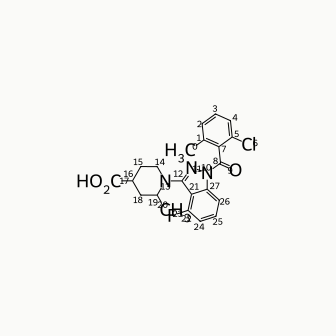 Cc1cccc(Cl)c1C(=O)n1nc(N2CCC(C(=O)O)CC2C)c2c(F)cccc21